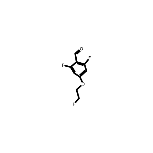 O=Cc1c(F)cc(OCCF)cc1F